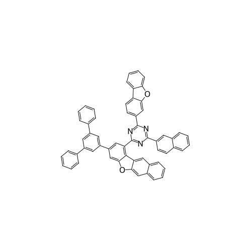 c1ccc(-c2cc(-c3ccccc3)cc(-c3cc(-c4nc(-c5ccc6ccccc6c5)nc(-c5ccc6c(c5)oc5ccccc56)n4)c4c(c3)oc3cc5ccccc5cc34)c2)cc1